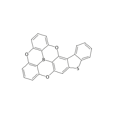 c1cc2c3c(c1)Oc1cc4sc5ccccc5c4c4c1B3c1c(cccc1O4)O2